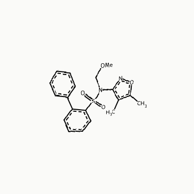 COCN(c1noc(C)c1C)S(=O)(=O)c1ccccc1-c1ccccc1